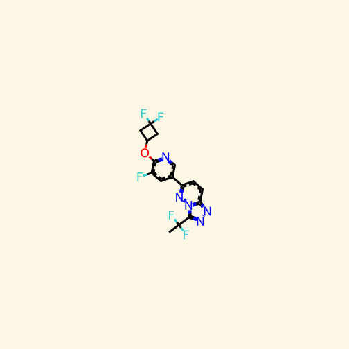 CC(F)(F)c1nnc2ccc(-c3cnc(OC4CC(F)(F)C4)c(F)c3)nn12